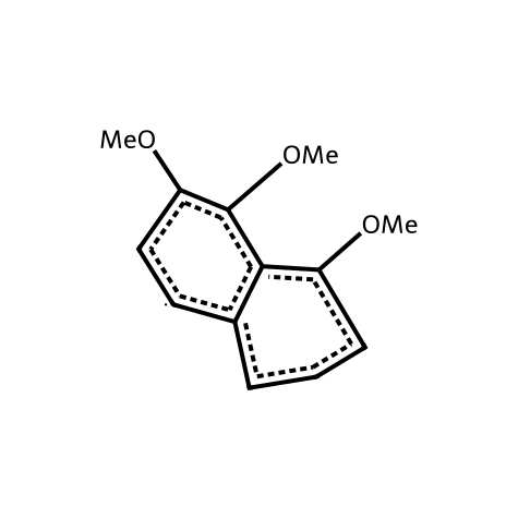 COc1c[c]c2cccc(OC)c2c1OC